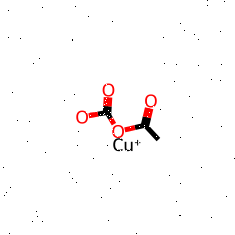 CC(=O)OC(=O)[O-].[Cu+]